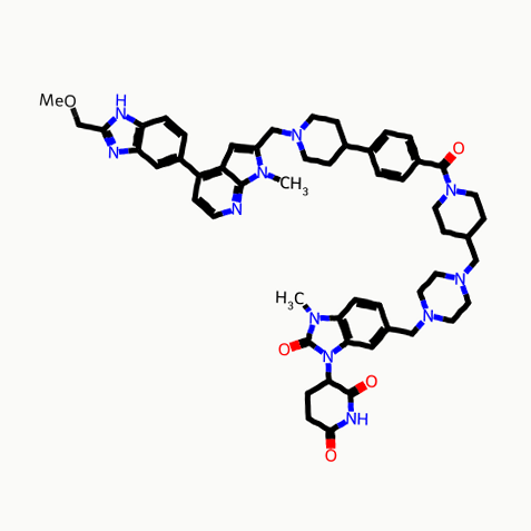 COCc1nc2cc(-c3ccnc4c3cc(CN3CCC(c5ccc(C(=O)N6CCC(CN7CCN(Cc8ccc9c(c8)n(C8CCC(=O)NC8=O)c(=O)n9C)CC7)CC6)cc5)CC3)n4C)ccc2[nH]1